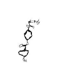 C=CC(=O)Oc1ccc(OC(=O)c2ccc(O)cc2)cc1